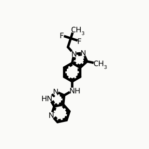 Cc1nn(CC(C)(F)F)c2ccc(Nc3n[nH]c4ncccc34)cc12